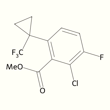 COC(=O)c1c(C2(C(F)(F)F)CC2)ccc(F)c1Cl